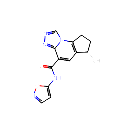 C[C@H]1CCc2c1cc(C(=O)Nc1ccno1)c1nncn21